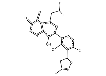 CC1=NOC(c2c(Cl)ccc(-c3sn(CC(F)F)c4c(=O)c(=O)cnc=4c3O)c2Cl)C1